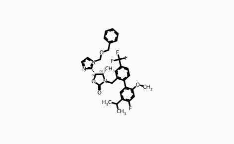 COc1cc(F)c(C(C)C)cc1-c1ccc(C(F)(F)F)cc1CN1C(=O)O[C@H](c2nccn2COCc2ccccc2)[C@@H]1C